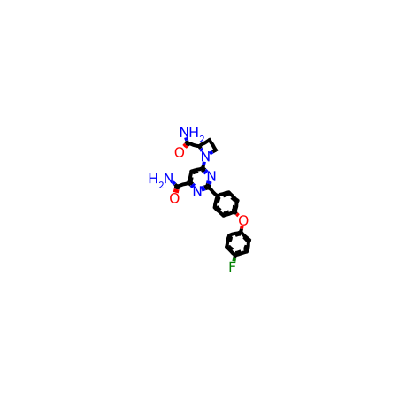 NC(=O)c1cc(N2CCC2C(N)=O)nc(-c2ccc(Oc3ccc(F)cc3)cc2)n1